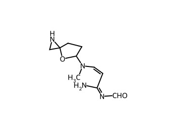 CN(/C=C\C(N)=N/C=O)C1CCC2(CN2)O1